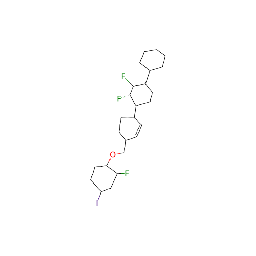 FC1CC(I)CCC1OCC1C=CC(C2CCC(C3CCCCC3)C(F)[C@H]2F)CC1